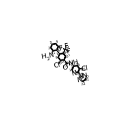 Nc1ccccc1-c1cc(Cl)c(C(=O)Nc2cnc(-n3nccn3)c(Cl)c2)cc1C(F)(F)F